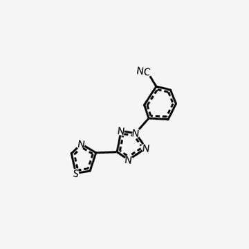 N#Cc1cccc(-n2nnc(-c3cscn3)n2)c1